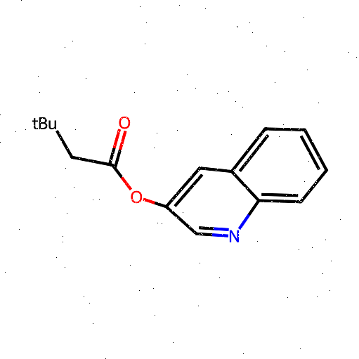 CC(C)(C)CC(=O)Oc1cnc2ccccc2c1